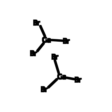 [Br][Ga]([Br])[Br].[Br][Ga]([Br])[Br]